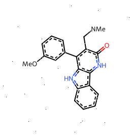 CNCc1c(-c2cccc(OC)c2)c2[nH]c3ccccc3c2[nH]c1=O